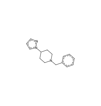 c1ccc(CN2CCC(n3cccn3)CC2)cc1